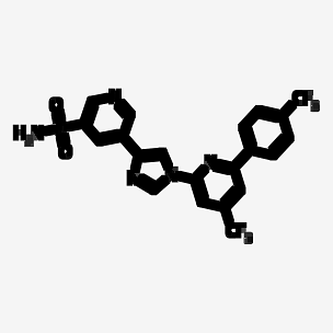 NS(=O)(=O)c1cncc(-c2cn(-c3cc(C(F)(F)F)cc(-c4ccc(C(F)(F)F)cc4)n3)cn2)c1